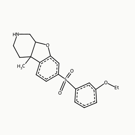 CCOc1cccc(S(=O)(=O)c2ccc3c(c2)OC2CNCCC32C)c1